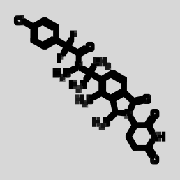 Bc1c(C(B)(B)N(B)C(=O)C(F)(F)c2ccc(Cl)cc2)ccc2c1C(B)N(C1CCC(=O)NC1=O)C2=O